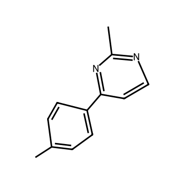 Cc1ccc(-c2ccnc(C)n2)cc1